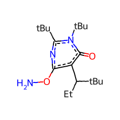 CCC(c1c(ON)nc(C(C)(C)C)n(C(C)(C)C)c1=O)C(C)(C)C